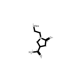 CCCCCCCCN1CC(C(N)=O)CC1=O